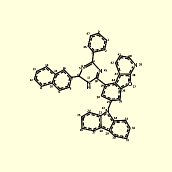 c1ccc(C2=NC(c3ccc4ccccc4c3)NC(c3cc(-n4c5ccccc5c5ccccc54)cc4oc5ncccc5c34)=N2)cc1